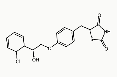 O=C1NC(=O)C(Cc2ccc(OC[C@@H](O)C3C=CC=CC3Cl)cc2)S1